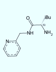 CCC(C)[C@H](N)C(=O)NCc1ccccn1